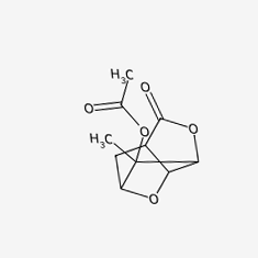 CC(=O)OC1(C)C2CC3C(=O)OC1C3O2